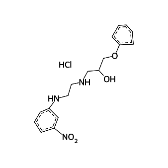 Cl.O=[N+]([O-])c1cccc(NCCNCC(O)COc2ccccc2)c1